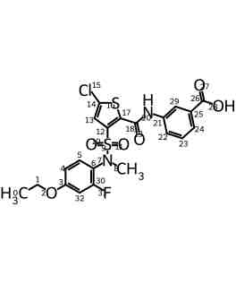 CCOc1ccc(N(C)S(=O)(=O)c2cc(Cl)sc2C(=O)Nc2cccc(C(=O)O)c2)c(F)c1